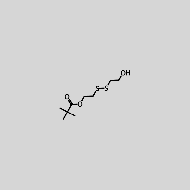 CC(C)(C)C(=O)OCCSSCCO